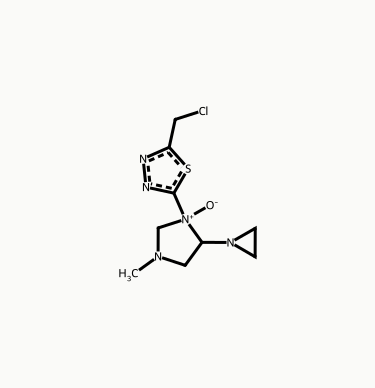 CN1CC(N2CC2)[N+]([O-])(c2nnc(CCl)s2)C1